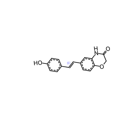 O=C1COc2ccc(/C=C/c3ccc(O)cc3)cc2N1